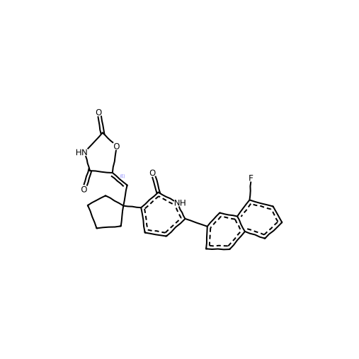 O=C1NC(=O)/C(=C\C2(c3ccc(-c4ccc5cccc(F)c5c4)[nH]c3=O)CCCC2)O1